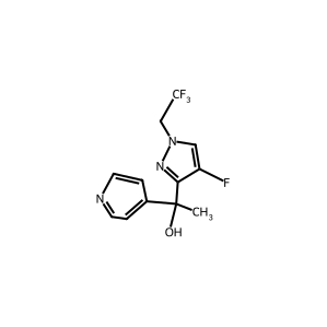 CC(O)(c1ccncc1)c1nn(CC(F)(F)F)cc1F